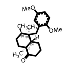 COc1ccc(OC)c(C[C@]2(C)[C@H](C)CC[C@]3(C)C(=O)CCC[C@@H]23)c1